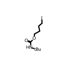 CC(C)(C)NC(=O)OCCCCI